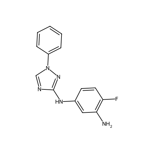 Nc1cc(Nc2ncn(-c3ccccc3)n2)ccc1F